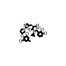 Cc1cc(Cl)c(O[C@@H]2CCN(c3ncc(C[C@@H](CN)C(=O)N(Cc4cccc(Cl)c4Cl)C4CC4)s3)C2)c(Cl)c1